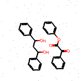 O=C(Oc1ccccc1)C(=O)c1ccccc1.OC(CC(O)c1ccccc1)c1ccccc1